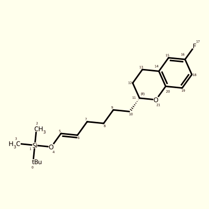 CC(C)(C)[Si](C)(C)OC=CCCCC[C@@H]1CCc2cc(F)ccc2O1